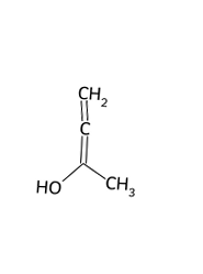 C=C=C(C)O